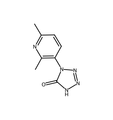 Cc1ccc(-n2nn[nH]c2=O)c(C)n1